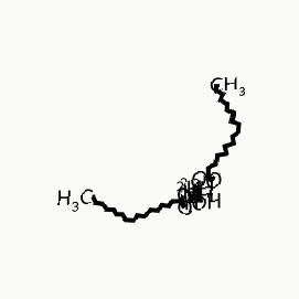 [2H]C([2H])(OC(=O)CCCCCCC/C=C\CCCCCCCC)C([2H])(O)C([2H])([2H])OC(=O)CCCCCCC/C=C\CCCCCCCC